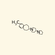 Cc1ccc2c(c1)CCC(N1CCC(N3CCCC3)CC1)CC2